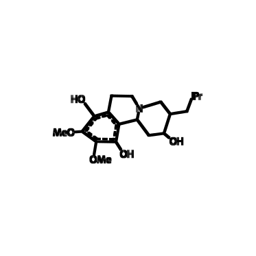 COc1c(O)c2c(c(O)c1OC)C1CC(O)C(CC(C)C)CN1CC2